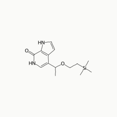 CC(OCC[Si](C)(C)C)c1c[nH]c(=O)c2[nH]ccc12